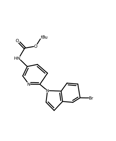 CC(C)(C)OC(=O)Nc1ccc(-n2ccc3cc(Br)ccc32)nc1